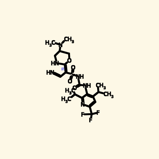 CC(C)c1cc(C(F)(F)F)nc(C(C)C)c1NC(=O)NS(=O)(=O)/C(C=N)=C1/NCC(N(C)C)CO1